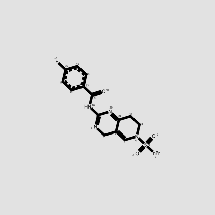 CCCS(=O)(=O)N1C=C2CN=C(NC(=O)c3ccc(F)cc3)N=C2CC1